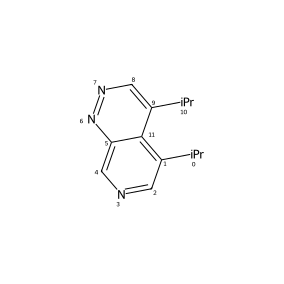 CC(C)c1cncc2nncc(C(C)C)c12